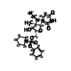 C[C@@]1(N=[N+]=[N-])[C@H](O)[C@@H](COP(=O)(Oc2ccccc2)N2CCCCC2)O[C@H]1n1ccc(=O)[nH]c1=O